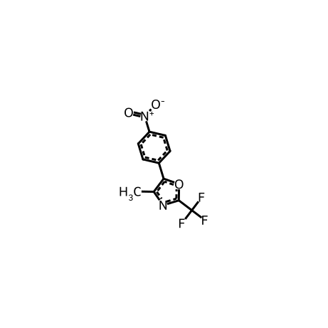 Cc1nc(C(F)(F)F)oc1-c1ccc([N+](=O)[O-])cc1